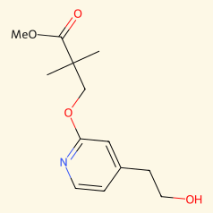 COC(=O)C(C)(C)COc1cc(CCO)ccn1